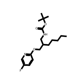 CCCCCC(CNC(=O)OC(C)(C)C)COc1ccc(F)cn1